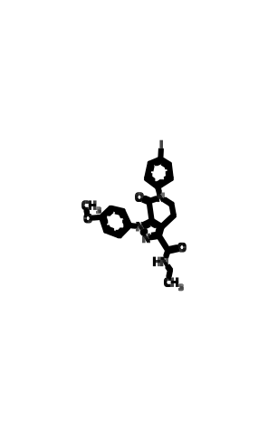 CCNC(=O)c1nn(-c2ccc(OC)cc2)c2c1CCN(c1ccc(I)cc1)C2=O